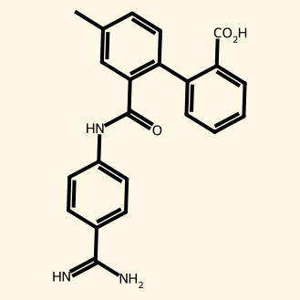 Cc1ccc(-c2ccccc2C(=O)O)c(C(=O)Nc2ccc(C(=N)N)cc2)c1